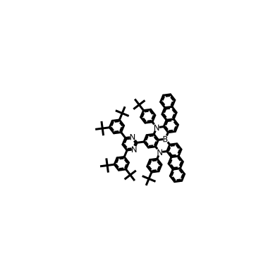 CC(C)(C)c1ccc(N2c3cc(-c4nc(-c5cc(C(C)(C)C)cc(C(C)(C)C)c5)cc(-c5cc(C(C)(C)C)cc(C(C)(C)C)c5)n4)cc4c3B(c3ccc5cc6ccccc6cc5c32)c2ccc3cc5ccccc5cc3c2N4c2ccc(C(C)(C)C)cc2)cc1